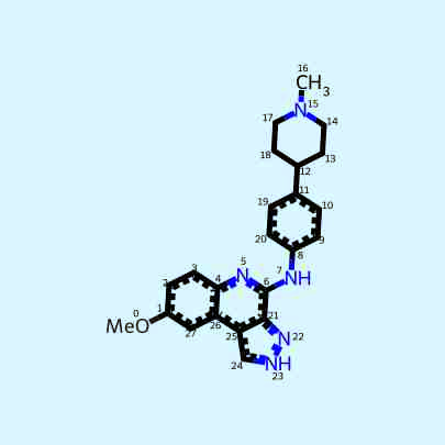 COc1ccc2nc(Nc3ccc(C4CCN(C)CC4)cc3)c3n[nH]cc3c2c1